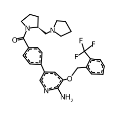 Nc1ncc(-c2ccc(C(=O)N3CCC[C@H]3CN3CCCC3)cc2)cc1OCc1ccccc1C(F)(F)F